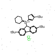 CC(C)(C)C1=CC[C]([Zr+2](=[C]2CCCCC2)[CH]2c3cc(C(C)(C)C)ccc3-c3ccc(C(C)(C)C)cc32)=C1.[Cl-].[Cl-]